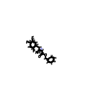 N/C(=C\C(=O)OCc1ccccc1)Cc1cc(F)c(F)cc1F